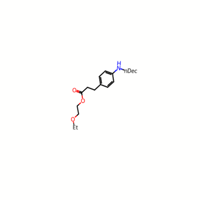 CCCCCCCCCCNc1ccc(CCC(=O)OCCOCC)cc1